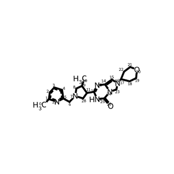 Cc1cccc(CN2CC(C)C(C3=NC4=CN(C5CCOCC5)CN4C(=O)N3)C2)n1